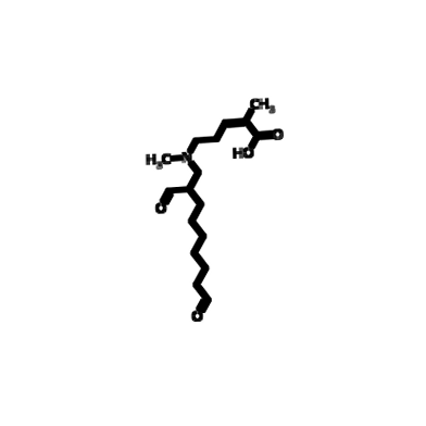 CC(=CCCN(C)CC(C=O)CCCCCCC=O)C(=O)O